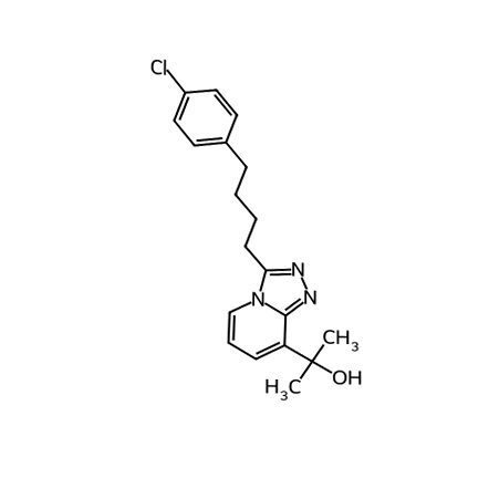 CC(C)(O)c1cccn2c(CCCCc3ccc(Cl)cc3)nnc12